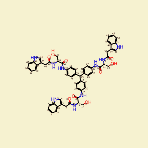 O=C(Cc1c[nH]c2ccccc12)N[C@@H](CO)C(=O)Nc1ccc(C(c2ccc(NC(=O)[C@H](CO)NC(=O)Cc3c[nH]c4ccccc34)cc2)c2ccc(NC(=O)[C@H](CO)NC(=O)Cc3c[nH]c4ccccc34)cc2)cc1